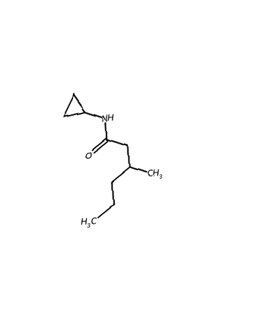 CCCC(C)CC(=O)NC1CC1